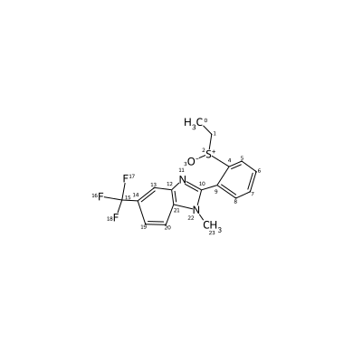 CC[S+]([O-])c1ccccc1-c1nc2cc(C(F)(F)F)ccc2n1C